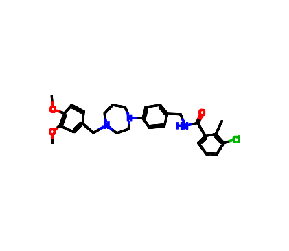 COc1ccc(CN2CCCN(c3ccc(CNC(=O)c4cccc(Cl)c4C)cc3)CC2)cc1OC